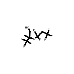 OCC(F)(OC(F)(F)CC(F)(F)F)C(F)(F)F